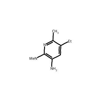 CCc1cc(N)c(NC)nc1C